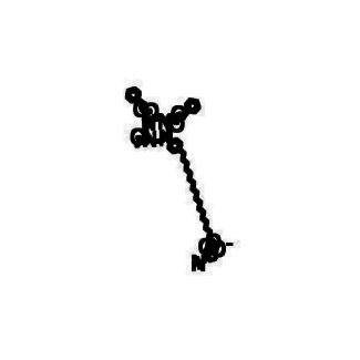 CC(=O)CN1CCN(CC(=O)OCc2ccccc2)CCN(CC(=O)OCc2ccccc2)CCN(c2ccc(CCCCCCCCCCCCCCCCCCOP(=O)([O-])OCC[N+](C)(C)C)cc2)CC1